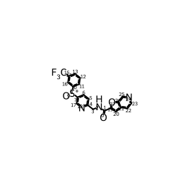 O=C(NCc1ccc([S+]([O-])c2cccc(C(F)(F)F)c2)cn1)c1cc2ccncc2o1